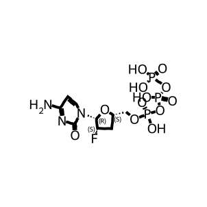 Nc1ccn([C@@H]2O[C@H](COP(=O)(O)OP(=O)(O)OP(=O)(O)O)C[C@@H]2F)c(=O)n1